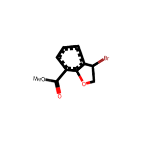 COC(=O)c1cccc2c1OCC2Br